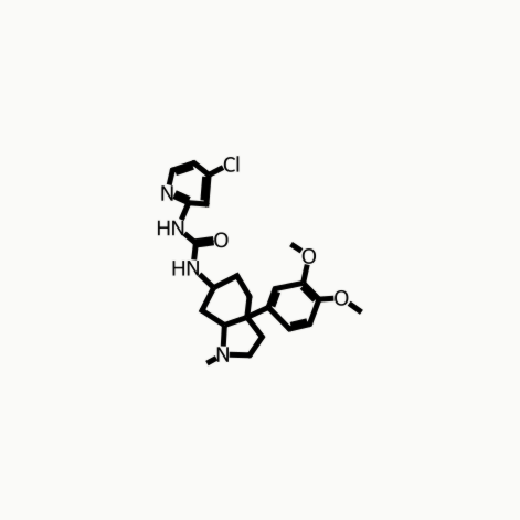 COc1ccc(C23CCC(NC(=O)Nc4cc(Cl)ccn4)CC2N(C)CC3)cc1OC